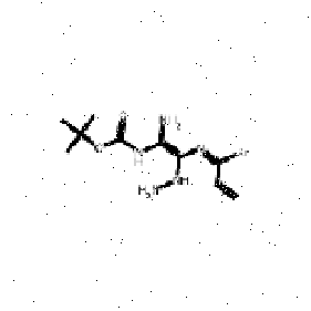 C=C/C(Br)=N\C(NN)=C(/N)NC(=O)OC(C)(C)C